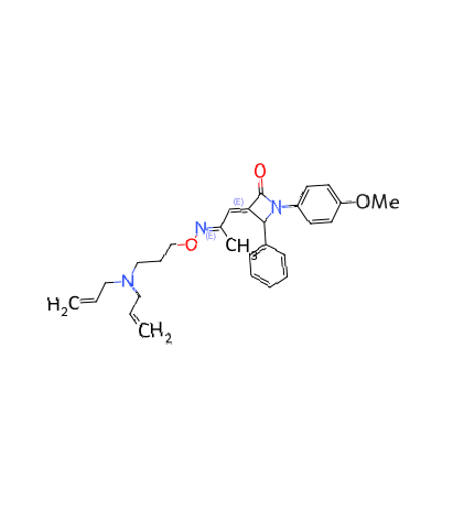 C=CCN(CC=C)CCCO/N=C(C)/C=C1/C(=O)N(c2ccc(OC)cc2)C1c1ccccc1